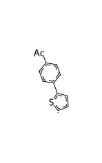 CC(=O)c1ccc(-c2cc[c]s2)cc1